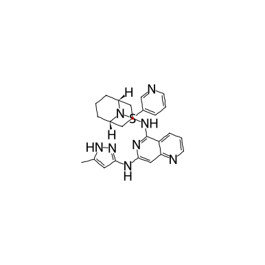 Cc1cc(Nc2cc3ncccc3c(NC3C[C@H]4CCC[C@@H](C3)N4Sc3cccnc3)n2)n[nH]1